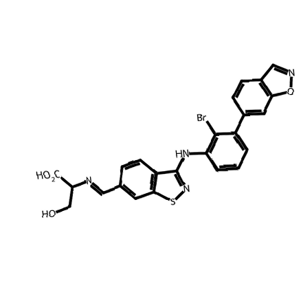 O=C(O)C(CO)N=Cc1ccc2c(Nc3cccc(-c4ccc5cnoc5c4)c3Br)nsc2c1